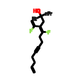 C=CCCC#CCC/C(F)=C(/CC(O)(CC)CCC)C(=C)F